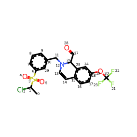 CC(Cl)S(=O)(=O)c1cccc(CN2C=Cc3ccc(OC(F)(F)F)cc3C2C=O)c1